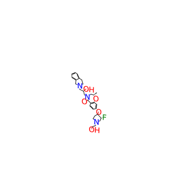 C[C@@H]1CN(C[C@H](O)CN2CCc3ccccc3C2)C(=O)c2ccc(O[C@@H]3CCN(CCO)C[C@H]3F)cc2O1